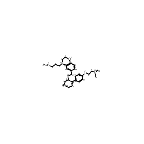 COCCCN1CCOc2ccc(COC3CNCCC3c3ccc(OCCN(C)C)cc3)cc21